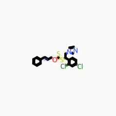 S=C(OC/C=C/c1ccccc1)SC(Cn1ccnc1)c1ccc(Cl)cc1Cl